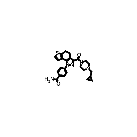 NC(=O)c1ccc(-n2nc(C(=O)N3CCN(CC4CC4)CC3)c3c2-c2ccsc2CC3)cc1